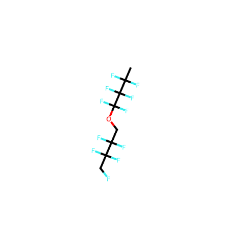 CC(F)(F)C(F)(F)C(F)(F)OCC(F)(F)C(F)(F)CF